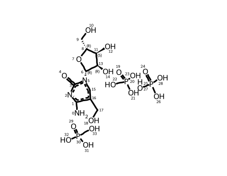 Nc1nc(=O)n([C@@H]2O[C@H](CO)[C@@H](O)[C@H]2O)cc1CO.O=P(O)(O)O.O=P(O)(O)O.O=P(O)(O)O